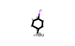 CCCCC1CCC(I)CC1